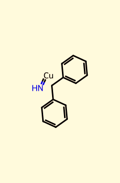 [NH]=[Cu].c1ccc(Cc2ccccc2)cc1